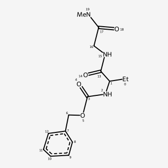 CCC(NC(=O)OCc1ccccc1)C(=O)NCC(=O)NC